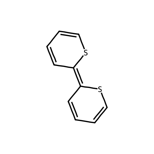 C1=CSC(=C2C=CC=CS2)C=C1